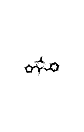 CC(=O)N[C@H](C(=O)OCc1ccccc1)C1CCCC1